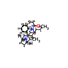 CCCCCC1C[C@H]2CC[C@@H](C1)N2CC(C)CN1C(=O)CSc2ccccc21